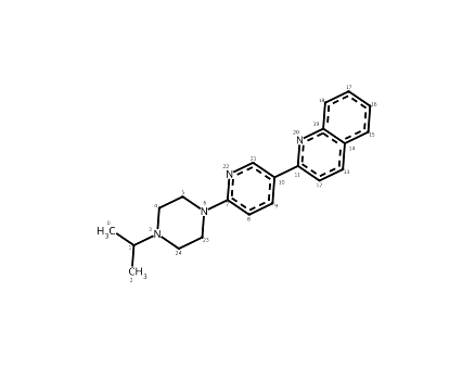 CC(C)N1CCN(c2ccc(-c3ccc4ccccc4n3)cn2)CC1